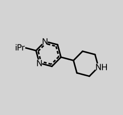 CC(C)c1ncc(C2CCNCC2)cn1